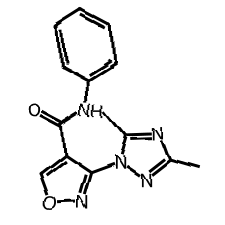 Cc1nc(C)n(-c2nocc2C(=O)Nc2ccccc2)n1